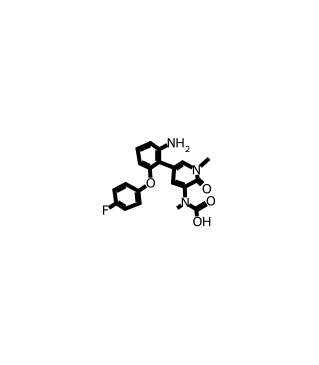 CN(C(=O)O)c1cc(-c2c(N)cccc2Oc2ccc(F)cc2)cn(C)c1=O